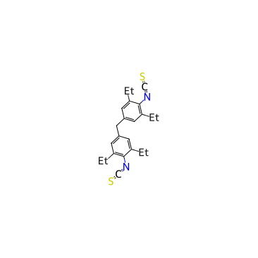 CCc1cc(Cc2cc(CC)c(N=C=S)c(CC)c2)cc(CC)c1N=C=S